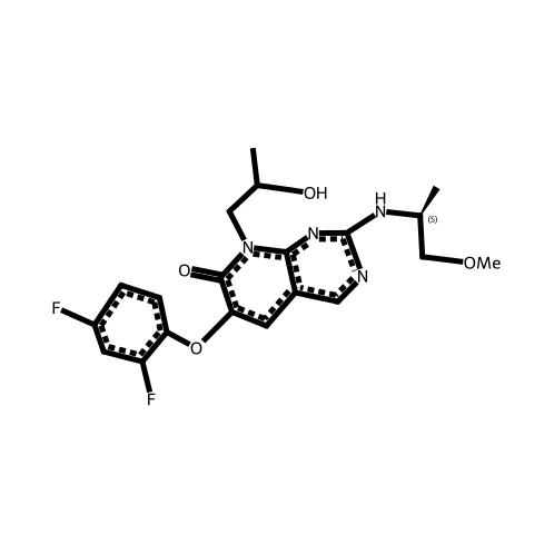 COC[C@H](C)Nc1ncc2cc(Oc3ccc(F)cc3F)c(=O)n(CC(C)O)c2n1